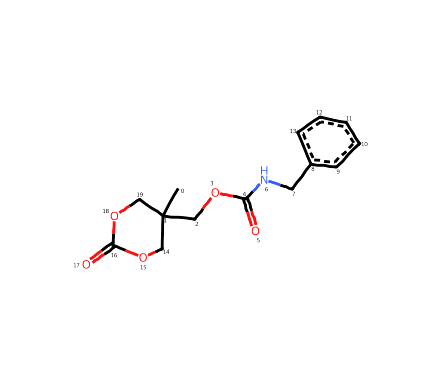 CC1(COC(=O)NCc2ccccc2)COC(=O)OC1